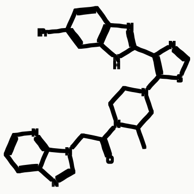 CC(C)c1ccc2nc(-c3ncsc3N3CCN(C(=O)Cn4cnc5cccnc54)C(C)C3)[nH]c2c1